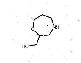 OCC1CNCCCO1